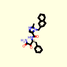 Cc1ncc(C(=O)N[C@@H](Cc2ccccc2)C(=O)C(N)=O)n1Cc1ccc2ccccc2c1